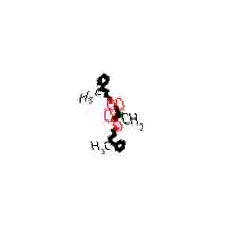 C=C(C(=O)OCCCC(C)c1ccccc1)C(=O)OCCCC(C)c1ccccc1